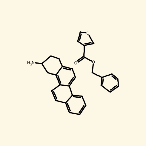 NC1CCc2ccc3c(ccc4ccccc43)c2C1.O=C(OCc1ccccc1)c1ccoc1